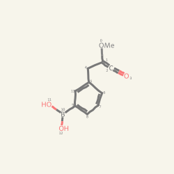 COC(=C=O)Cc1cccc(B(O)O)c1